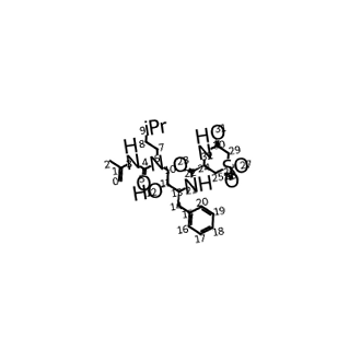 C=C(C)NC(=O)N(CCC(C)C)C[C@@H](O)[C@H](Cc1ccccc1)NC(=O)[C@@H]1CS(=O)(=O)CC(=O)N1